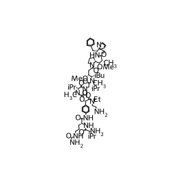 CC[C@H](C)[C@@H]([C@@H](CC(=O)N1CCC[C@H]1[C@H](OC)[C@@H](C)C(=O)N[C@@H](Cc1ccccc1)c1nccs1)OC)N(C)C(=O)[C@@H](NC(=O)[C@H](C(C)C)N(C)C(=O)OC(C(=O)N(CC)CCN)c1ccc(NC(=O)[C@H](CCCNC(N)=O)NC(=O)[C@@H](N)C(C)C)cc1)C(C)C